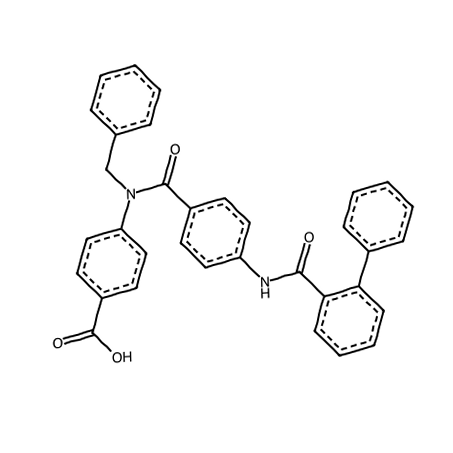 O=C(O)c1ccc(N(Cc2ccccc2)C(=O)c2ccc(NC(=O)c3ccccc3-c3ccccc3)cc2)cc1